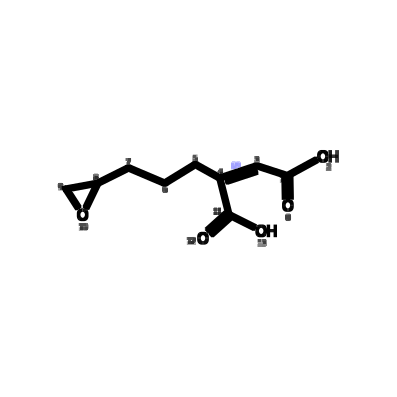 O=C(O)/C=C(/CCCC1CO1)C(=O)O